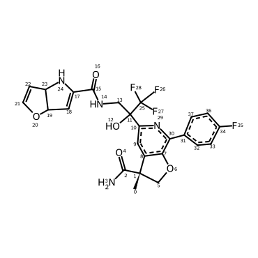 C[C@]1(C(N)=O)COc2c1cc(C(O)(CNC(=O)C1=CC3OC=CC3N1)C(F)(F)F)nc2-c1ccc(F)cc1